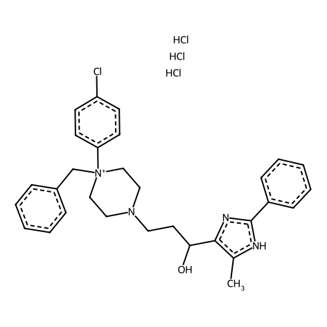 Cc1[nH]c(-c2ccccc2)nc1C(O)CCN1CC[N+](Cc2ccccc2)(c2ccc(Cl)cc2)CC1.Cl.Cl.Cl